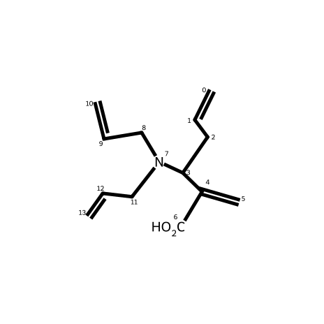 C=CCC(C(=C)C(=O)O)N(CC=C)CC=C